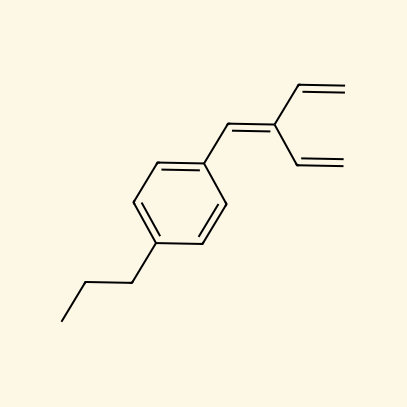 C=CC(C=C)=Cc1ccc(CCC)cc1